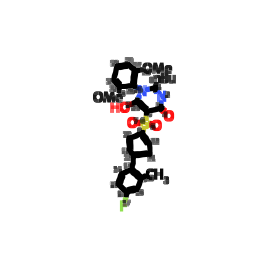 CCCCc1nc(=O)c(S(=O)(=O)c2ccc(-c3ccc(F)cc3C)cc2)c(O)n1-c1c(OC)cccc1OC